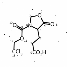 O=C(O)CCC1C(=O)OCN1C(=O)OCC(Cl)(Cl)Cl